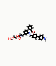 CN(C)c1ccc(-c2ccc(CN(C(=O)C3CCCCC3)c3cccc(/C=C/C(=O)OCCO)c3)cc2)cc1